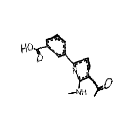 CNc1nc(-c2cccc(C(=O)O)c2)ccc1C(C)=O